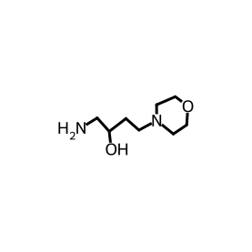 NCC(O)CCN1CCOCC1